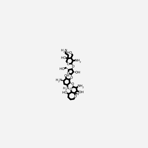 NCCC1(O)CO[C@H](O[C@@H]2[C@H](O)[C@H](OC3C(O)[C@H](N)CC(N)[C@H]3O[C@H]3OC4C(O)CCCO[C@H]4C(O)C3N)O[C@@H]2CO)C(N)C1CO